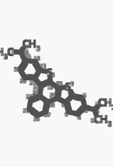 CC(C)c1ccc2c(c1)sc1c3sc4cc(C(C)C)ccc4c3c3ccccc3c21